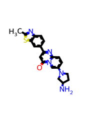 Cc1nc2ccc(-c3cc(=O)n4cc(N5CCC(N)C5)ccc4n3)cc2s1